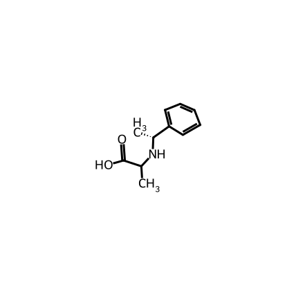 CC(N[C@H](C)c1ccccc1)C(=O)O